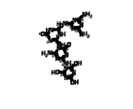 Nc1nc(=O)[nH]c(=O)[nH]1.Nc1nc(N)[nH]c(=O)n1.Nc1nc(N)nc(N)n1.Oc1nc(O)nc(O)n1